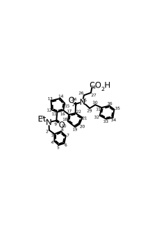 CCN(Cc1ccccc1)C(=O)c1ccccc1-c1ccccc1C(=O)N(CCC(=O)O)CCc1ccccc1